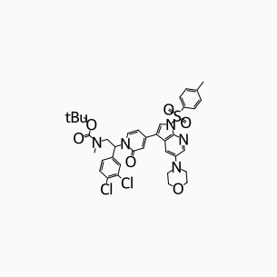 Cc1ccc(S(=O)(=O)n2cc(-c3ccn(C(CN(C)C(=O)OC(C)(C)C)c4ccc(Cl)c(Cl)c4)c(=O)c3)c3cc(N4CCOCC4)cnc32)cc1